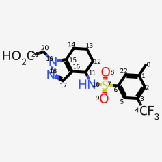 Cc1cc(C(F)(F)F)cc(S(=O)(=O)NC2CCCc3c2cnn3CC(=O)O)c1